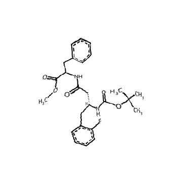 COC(=O)C(Cc1ccccc1)NC(=O)C[C@@H](Cc1ccccc1F)NC(=O)OC(C)(C)C